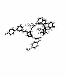 Cc1c(Cl)c2c(Cl)c(C)c1-c1c(-c3ccc(F)cc3)sc3ncnc(c13)OC(C(=O)O)Cc1cc(ccc1OCc1ccnc(C3=CCC(F)CC3)n1)OCC(CN1CCN(C)CC1)O2